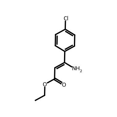 CCOC(=O)C=C(N)c1ccc(Cl)cc1